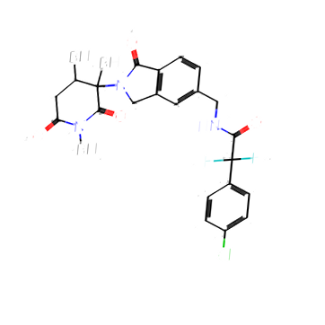 BC1CC(=O)N(B)C(=O)C1(B)N1Cc2cc(CNC(=O)C(F)(F)c3ccc(Cl)cc3)ccc2C1=O